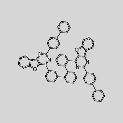 c1ccc(-c2ccc(-c3nc(-c4cccc(-c5ccccc5-c5ccccc5-c5nc(-c6ccc(-c7ccccc7)cc6)nc6c5oc5ccccc56)c4)c4oc5ccccc5c4n3)cc2)cc1